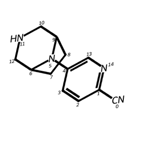 N#Cc1ccc(N2C3CCC2CNC3)cn1